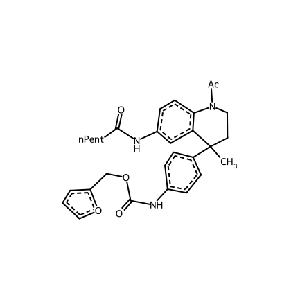 CCCCCC(=O)Nc1ccc2c(c1)C(C)(c1ccc(NC(=O)OCc3ccco3)cc1)CCN2C(C)=O